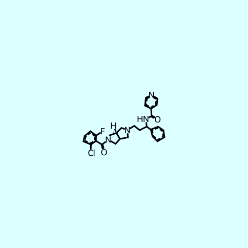 O=C(NC(CCN1CC2CN(C(=O)c3c(F)cccc3Cl)C[C@@H]2C1)c1ccccc1)c1ccncc1